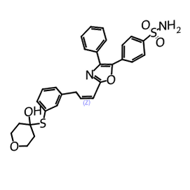 NS(=O)(=O)c1ccc(-c2oc(/C=C\Cc3cccc(SC4(O)CCOCC4)c3)nc2-c2ccccc2)cc1